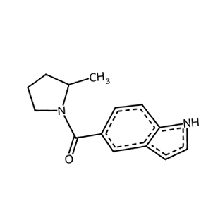 CC1CCCN1C(=O)c1ccc2[nH]ccc2c1